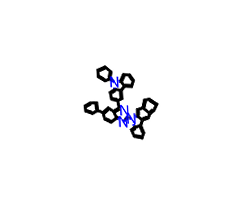 c1ccc(-c2ccc3nc(-n4c5ccccc5c5cc6ccccc6cc54)nc(-c4ccc5c(c4)c4ccccc4n5-c4ccccc4)c3c2)cc1